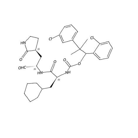 CC(C)(c1cccc(Cl)c1)C(OC(=O)N[C@@H](CC1CCCCC1)C(=O)N[C@H](C=O)C[C@@H]1CCNC1=O)c1ccccc1Cl